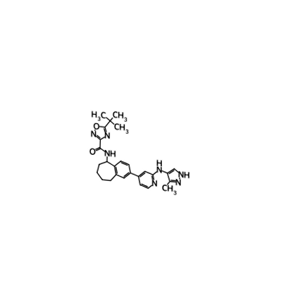 Cc1n[nH]cc1Nc1cc(-c2ccc3c(c2)CCCCC3NC(=O)c2noc(C(C)(C)C)n2)ccn1